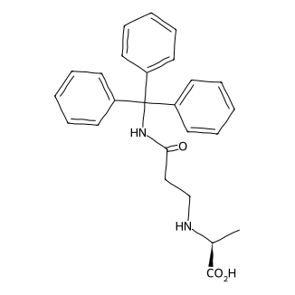 C[C@H](NCCC(=O)NC(c1ccccc1)(c1ccccc1)c1ccccc1)C(=O)O